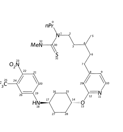 CCCN(CCC(C)CCc1ccnc(O[C@H]2CC[C@H](Nc3ccc([N+](=O)[O-])c(C(F)(F)F)c3)CC2)c1)C(=S)NC